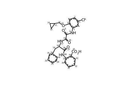 O=C(Nc1cc(Cl)ccc1OCC1CC1)C(=O)NC(Cc1ccccc1)C(=O)Nc1ccccc1C(=O)O